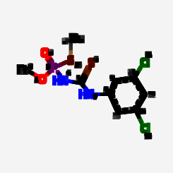 CCOP(=O)(NC(=S)Nc1cc(Cl)cc(Cl)c1)SC(C)CC